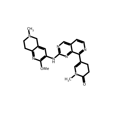 COc1nc2c(cc1Nc1ncc3ccnc(C4=CN(C)C(=O)CC4)c3n1)CN(C)CC2